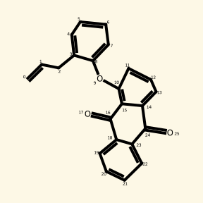 C=CCc1ccccc1Oc1cccc2c1C(=O)c1ccccc1C2=O